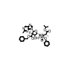 Cc1ncc2ncn([C@@H]3O[C@H](COP(=O)(N[C@@H](C)C(=O)OC(C)C)Oc4ccccc4)[C@@H](O)[C@]3(F)C(=O)OCc3ccccc3)c2n1